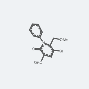 COCc1c(Br)cc(C=O)c(=O)n1-c1ccccc1